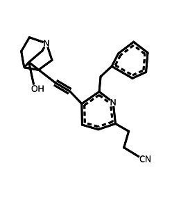 N#CCCc1ccc(C#CC2(O)CN3CCC2CC3)c(Cc2ccccc2)n1